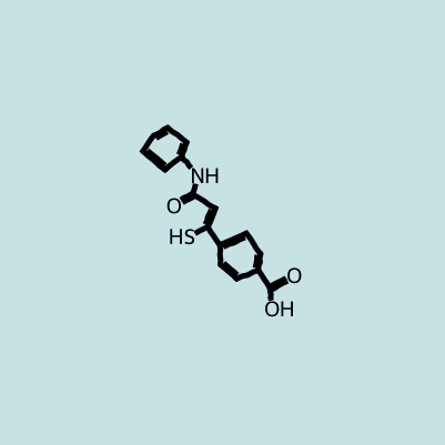 O=C(/C=C(\S)c1ccc(C(=O)O)cc1)Nc1ccccc1